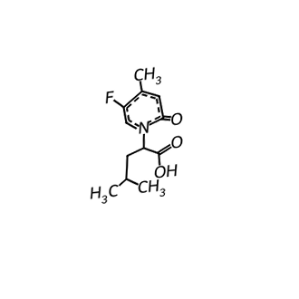 Cc1cc(=O)n(C(CC(C)C)C(=O)O)cc1F